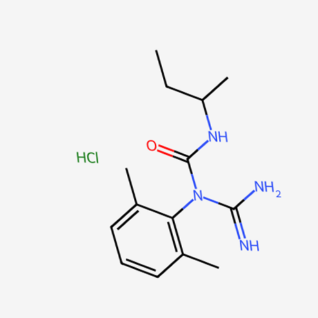 CCC(C)NC(=O)N(C(=N)N)c1c(C)cccc1C.Cl